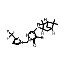 C[C@@H]1[C@H]2C[C@@H](C[C@H]1Nc1cnn(Cn3ccc(C(F)(F)F)n3)c(=O)c1Br)C2(C)C